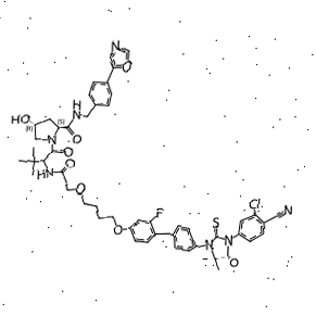 CC(C)(C)C(NC(=O)COCCCCOc1ccc(-c2ccc(N3C(=S)N(c4ccc(C#N)c(Cl)c4)C(=O)C3(C)C)cc2)c(F)c1)C(=O)N1C[C@H](O)C[C@H]1C(=O)NCc1ccc(-c2cnco2)cc1